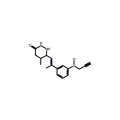 C#CC[S+]([O-])c1cccc(/C(C)=C/C2NNC(=O)CC2C)c1